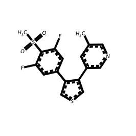 Cc1cncc(-c2cscc2-c2cc(F)c(S(C)(=O)=O)c(F)c2)c1